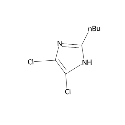 CCCCc1nc(Cl)c(Cl)[nH]1